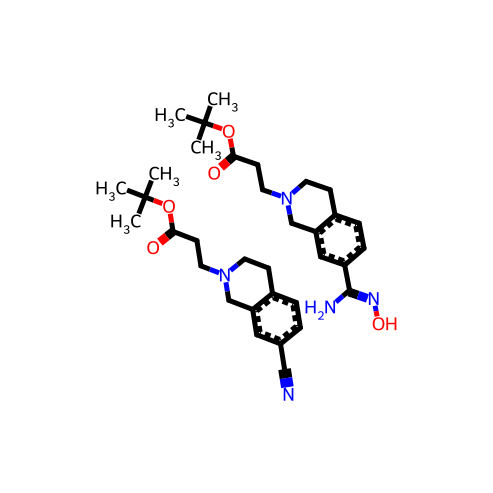 CC(C)(C)OC(=O)CCN1CCc2ccc(C#N)cc2C1.CC(C)(C)OC(=O)CCN1CCc2ccc(C(N)=NO)cc2C1